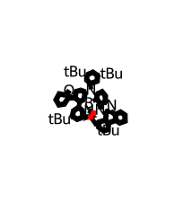 CC(C)(C)c1cc(N2c3cc4oc5ccccc5c4c4c3B(c3c2ccc2nc5c6ccccc6c6ccccc6c5nc32)n2c3ccc(C(C)(C)C)cc3c3cc(C(C)(C)C)cc-4c32)cc(C(C)(C)C)c1